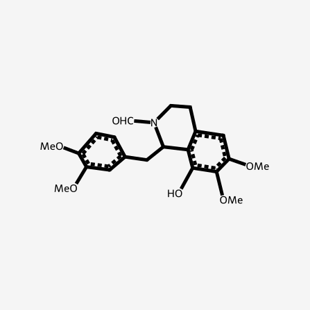 COc1ccc(CC2c3c(cc(OC)c(OC)c3O)CCN2C=O)cc1OC